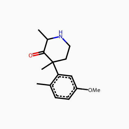 COc1ccc(C)c(C2(C)CCNC(C)C2=O)c1